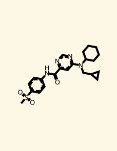 CS(=O)(=O)c1ccc(NC(=O)c2cc(N(CC3CC3)C3CCCCC3)ncn2)cc1